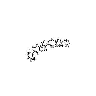 CC(C)N(C)c1nc2ccc(NC(=O)c3ccc(-c4cnccc4F)cc3)cc2[nH]1